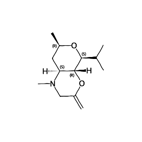 C=C1CN(C)[C@H]2C[C@@H](C)O[C@@H](C(C)C)[C@@H]2O1